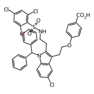 O=C(O)c1ccc(OCCc2c(CCNS(=O)(=O)c3c(Cl)cc(Cl)cc3Cl)n(C(c3ccccc3)c3ccccc3)c3ccc(Cl)cc23)cc1